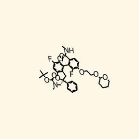 CNC(=O)c1ccc(OCCOC2CCCCO2)c(F)c1-c1c(Cl)c(F)cc2c1C[C@@](CN(C)C(=O)OC(C)(C)C)(c1ccccc1)O2